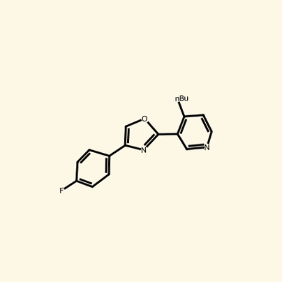 CCCCc1ccncc1-c1nc(-c2ccc(F)cc2)co1